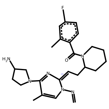 C=NN1C=C(C)C(N2CCC(N)C2)=N/C1=C/CC1CCCCN1C(=O)c1ccc(F)cc1C